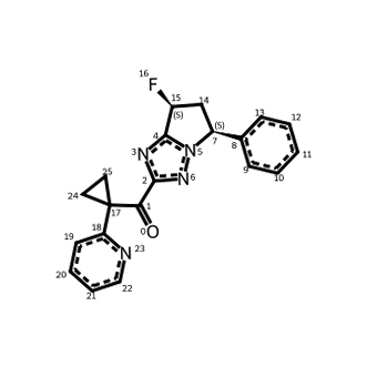 O=C(c1nc2n(n1)[C@H](c1ccccc1)C[C@@H]2F)C1(c2ccccn2)CC1